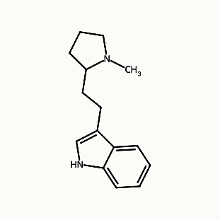 CN1CCCC1CCc1c[nH]c2ccccc12